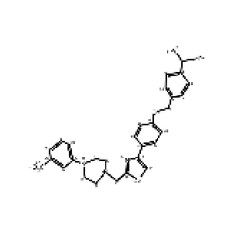 CCCC(CCC)c1ccc(COc2ccc(-c3csc(CN4CCN(c5cccc(C(=O)O)c5)CC4)n3)cc2)cc1